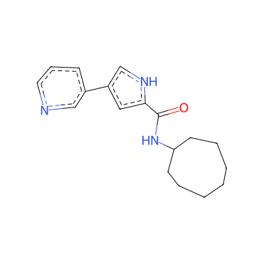 O=C(NC1CCCCCCC1)c1cc(-c2cccnc2)c[nH]1